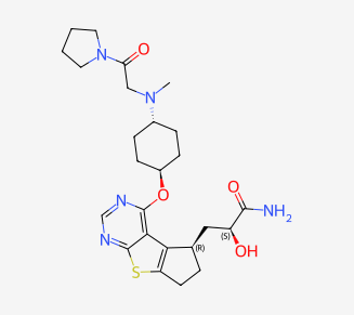 CN(CC(=O)N1CCCC1)[C@H]1CC[C@H](Oc2ncnc3sc4c(c23)[C@@H](C[C@H](O)C(N)=O)CC4)CC1